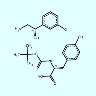 CC(C)(C)OC(=O)N[C@@H](Cc1ccc(O)cc1)C(=O)O.NC[C@H](O)c1cccc(Cl)c1